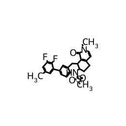 CCn1ccc2c(c1=O)C(Cc1cccc(-c3cc(C)cc(F)c3F)c1)C(NS(C)(=O)=O)CC2